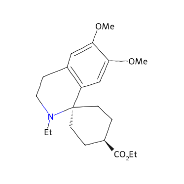 CCOC(=O)[C@H]1CC[C@@]2(CC1)c1cc(OC)c(OC)cc1CCN2CC